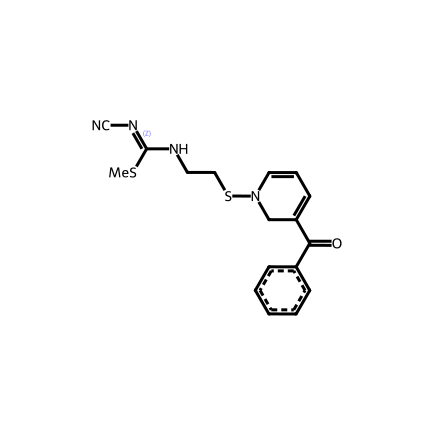 CS/C(=N\C#N)NCCSN1C=CC=C(C(=O)c2ccccc2)C1